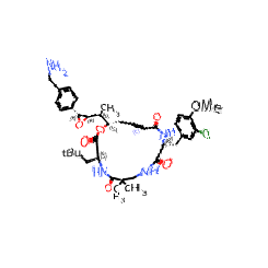 COc1ccc(C[C@H]2NC(=O)/C=C/C[C@@H]([C@H](C)[C@H]3O[C@@H]3c3ccc(CN)cc3)OC(=O)[C@H](CC(C)(C)C)NC(=O)C(C)(C)CNC2=O)cc1Cl